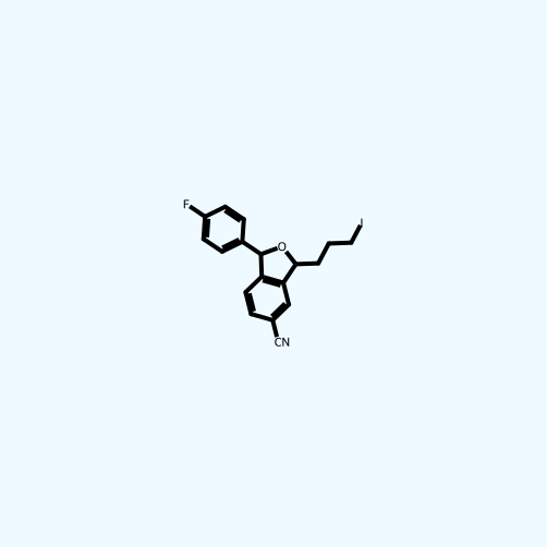 N#Cc1ccc2c(c1)C(CCCI)OC2c1ccc(F)cc1